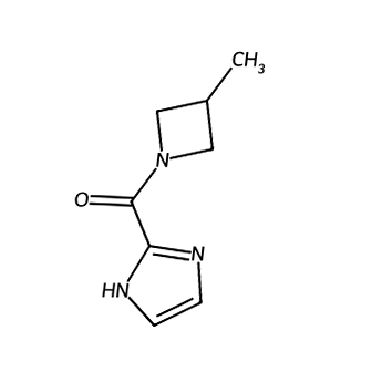 CC1CN(C(=O)c2ncc[nH]2)C1